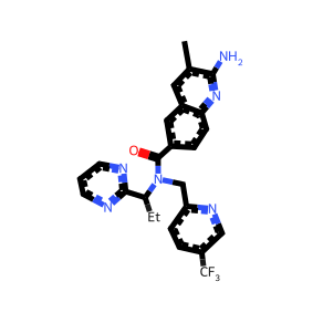 CCC(c1ncccn1)N(Cc1ccc(C(F)(F)F)cn1)C(=O)c1ccc2nc(N)c(C)cc2c1